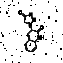 O=C1CN(C2C=C3C=CC=CC3NC2=O)N=N1